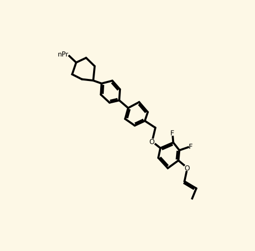 C/C=C/Oc1ccc(OCc2ccc(-c3ccc(C4CCC(CCC)CC4)cc3)cc2)c(F)c1F